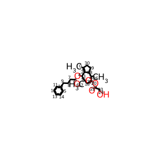 CC1=C2C(OC(=O)CCCc3ccccc3)C3(C)CC(OC(=O)CO)C(C)(O3)C2CC1